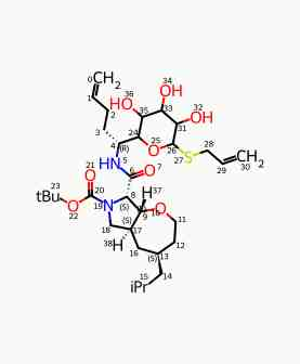 C=CCC[C@@H](NC(=O)[C@@H]1[C@@H]2OCC[C@@H](CC(C)C)C[C@H]2CN1C(=O)OC(C)(C)C)C1OC(SCC=C)C(O)C(O)C1O